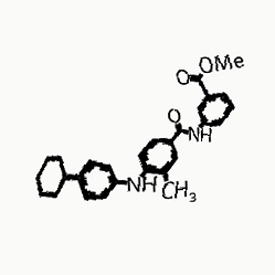 COC(=O)c1cccc(NC(=O)c2ccc(Nc3ccc(C4CCCCC4)cc3)c(C)c2)c1